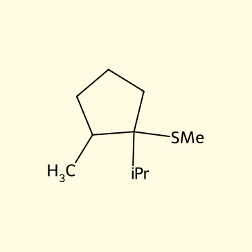 CSC1(C(C)C)CCCC1C